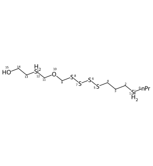 CCC[SiH2]CCCSSSSCOC[SiH2]CCO